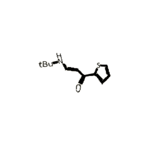 CC(C)(C)NC=CC(=O)c1cccs1